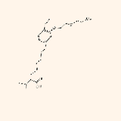 COCCOCCOc1cc(CCCCCCC(C(=O)O)C(C)C)ccc1OC